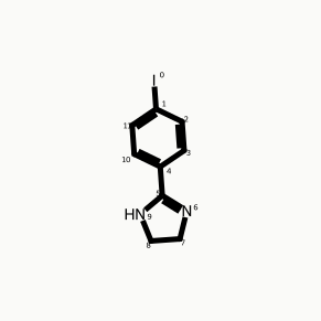 Ic1ccc(C2=NCCN2)cc1